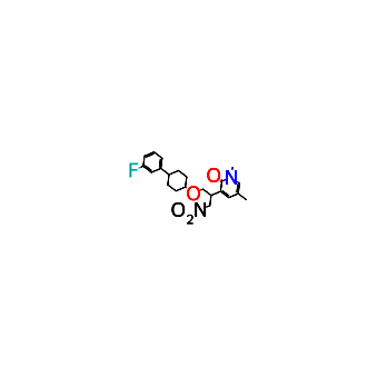 Cc1cc(C(COC2CCC(c3cccc(F)c3)CC2)C[N+](=O)[O-])c(=O)n(C)c1